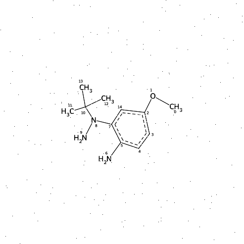 COc1ccc(N)c(N(N)C(C)(C)C)c1